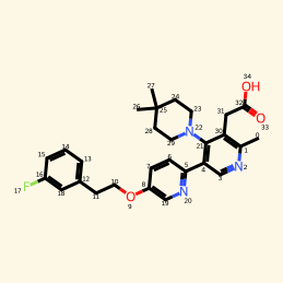 Cc1ncc(-c2ccc(OCCc3cccc(F)c3)cn2)c(N2CCC(C)(C)CC2)c1CC(=O)O